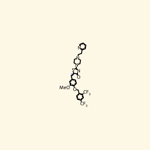 COc1cc(/C=C2/SC(N3CCN(CCc4ccccn4)CC3)=NC2=O)ccc1OCc1ccc(C(F)(F)F)cc1C(F)(F)F